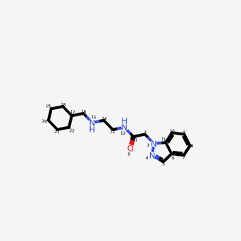 O=C(Cn1ncc2ccccc21)NCCNCC1CCCCC1